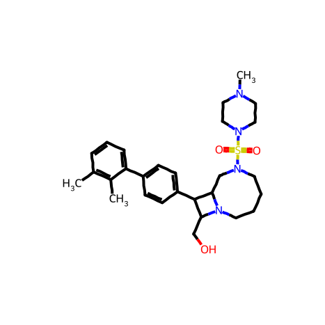 Cc1cccc(-c2ccc(C3C(CO)N4CCCCN(S(=O)(=O)N5CCN(C)CC5)CC34)cc2)c1C